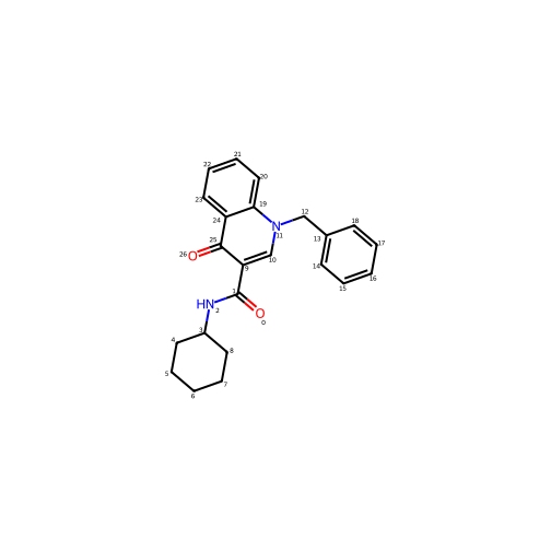 O=C(NC1CCCCC1)c1cn(Cc2ccccc2)c2ccccc2c1=O